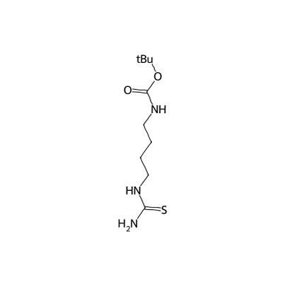 CC(C)(C)OC(=O)NCCCCNC(N)=S